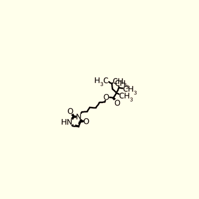 CC(C)CC(C)(C(=O)OCCCCCCn1c(=O)cc[nH]c1=O)C(C)C